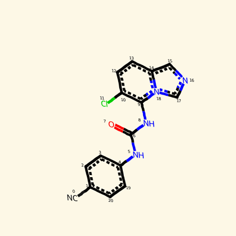 N#Cc1ccc(NC(=O)Nc2c(Cl)ccc3cncn23)cc1